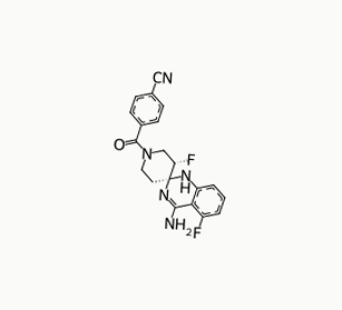 N#Cc1ccc(C(=O)N2CC[C@]3(N=C(N)c4c(F)cccc4N3)[C@@H](F)C2)cc1